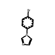 Brc1ccc(N2C=C[N+]=C2)cc1